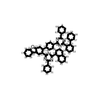 c1ccc(-c2nc(-c3ccc(-c4cc5oc6ccccc6c5cc4-c4nc(-c5ccccc5)nc(-c5cccc6ccccc56)n4)cc3)nc(-c3ccccc3-c3ccccc3)n2)cc1